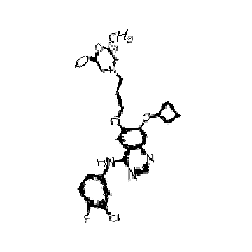 C[C@@H]1CN(CCCOc2cc3c(Nc4ccc(F)c(Cl)c4)ncnc3cc2OC2CCC2)CC(=O)O1